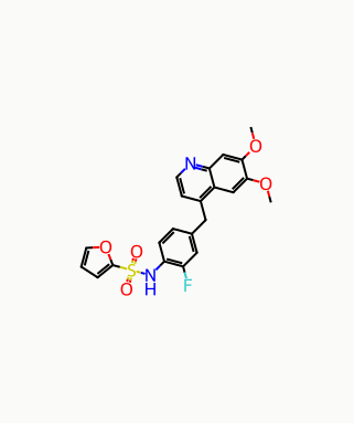 COc1cc2nccc(Cc3ccc(NS(=O)(=O)c4ccco4)c(F)c3)c2cc1OC